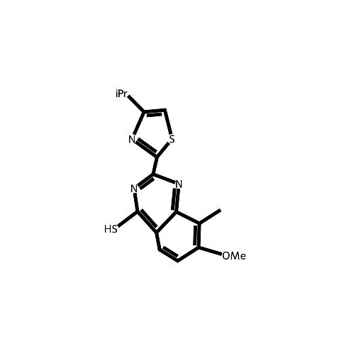 COc1ccc2c(S)nc(-c3nc(C(C)C)cs3)nc2c1C